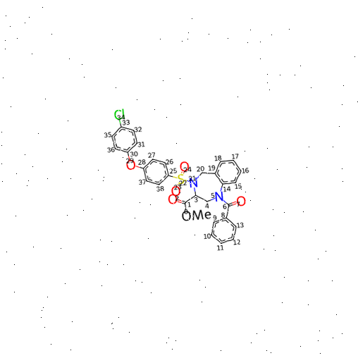 COC(=O)C1CN(C(=O)c2ccccc2)c2ccccc2CN1S(=O)(=O)c1ccc(Oc2ccc(Cl)cc2)cc1